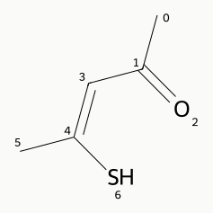 CC(=O)C=C(C)S